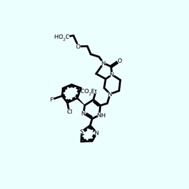 CCOC(=O)C1=C(CN2CCN3C(=O)N(CCCOCC(=O)O)CC3C2)NC(c2nccs2)=N[C@H]1c1cccc(F)c1Cl